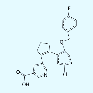 O=C(O)c1cncc(C2=C(c3cc(Cl)ccc3OCc3ccc(F)cc3)CCC2)c1